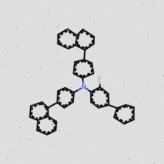 Fc1cc(-c2ccccc2)ccc1N(c1ccc(-c2cccc3ccccc23)cc1)c1ccc(-c2cccc3ccccc23)cc1